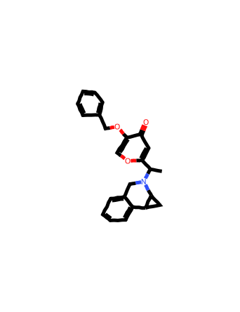 CC(c1cc(=O)c(OCc2ccccc2)co1)N1Cc2ccccc2C2CC21